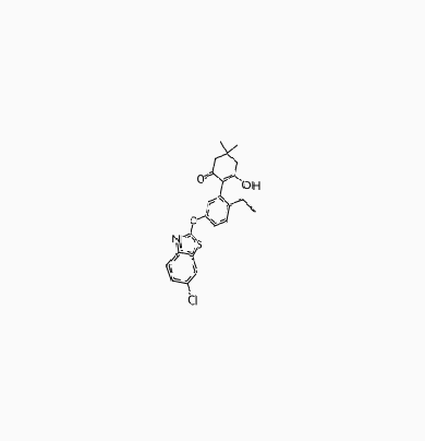 CCc1ccc(Oc2nc3ccc(Cl)cc3s2)cc1C1=C(O)CC(C)(C)CC1=O